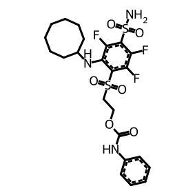 NS(=O)(=O)c1c(F)c(F)c(S(=O)(=O)CCOC(=O)Nc2ccccc2)c(NC2CCCCCCC2)c1F